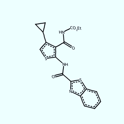 CCOC(=O)NC(=O)c1c(C2CC2)csc1NC(=O)c1nc2ccccc2s1